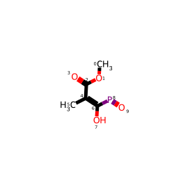 COC(=O)C(C)=C(O)P=O